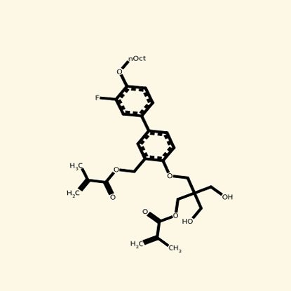 C=C(C)C(=O)OCc1cc(-c2ccc(OCCCCCCCC)c(F)c2)ccc1OCC(CO)(CO)COC(=O)C(=C)C